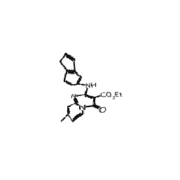 CCOC(=O)c1c(Nc2ccc3c(c2)C=CC3)nc2cc(C)ccn2c1=O